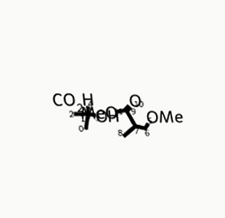 CC(C)(O)C(=O)O.COCC(C)C(=O)OC